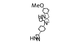 COc1ccc2c(c1)NC1(CCN(c3ccc(-c4cn[nH]c4)cc3)C1=O)C2